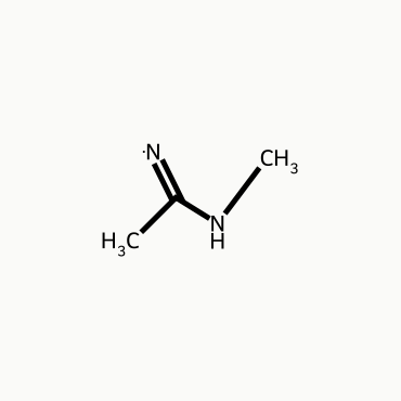 CNC(C)=[N]